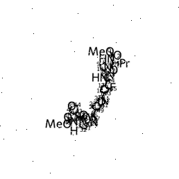 COC(=O)N[C@H](C(=O)N1CCC[C@H]1c1ncc(-c2ccc(-c3cc4ccc(-c5cnc([C@@H]6CCCN6C(=O)[C@@H](NC(=O)OC)C6CCOCC6)[nH]5)cc4cn3)cc2F)[nH]1)C(C)C